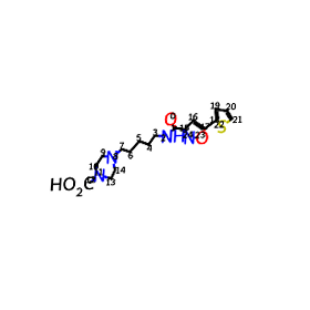 O=C(NCCCCCN1CCN(C(=O)O)CC1)c1cc(-c2cccs2)on1